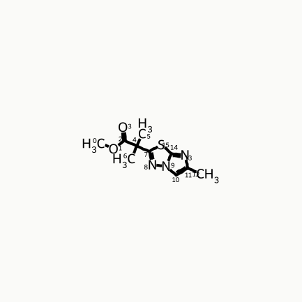 COC(=O)C(C)(C)c1nn2cc(C)nc2s1